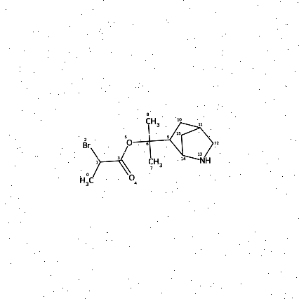 CC(Br)C(=O)OC(C)(C)C1CC2CNC1C2